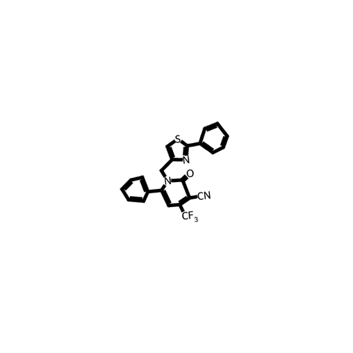 N#Cc1c(C(F)(F)F)cc(-c2ccccc2)n(Cc2csc(-c3ccccc3)n2)c1=O